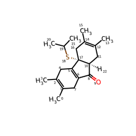 CC1=C(C)CC2=C(C1)C(=O)[C@@H]1CC(C)=C(C)C[C@]21SC(C)C